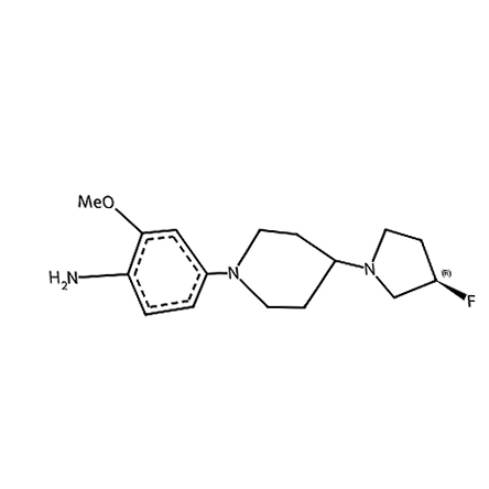 COc1cc(N2CCC(N3CC[C@@H](F)C3)CC2)ccc1N